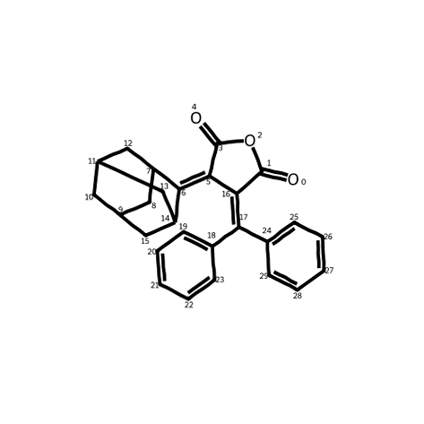 O=C1OC(=O)C(=C2C3CC4CC(C3)CC2C4)C1=C(c1ccccc1)c1ccccc1